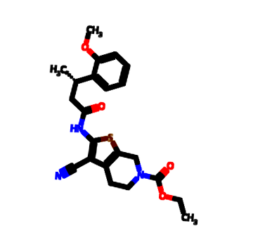 CCOC(=O)N1CCc2c(sc(NC(=O)C[C@H](C)c3ccccc3OC)c2C#N)C1